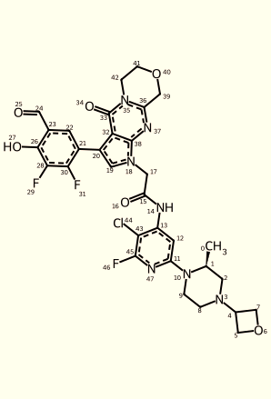 C[C@H]1CN(C2COC2)CCN1c1cc(NC(=O)Cn2cc(-c3cc(C=O)c(O)c(F)c3F)c3c(=O)n4c(nc32)COCC4)c(Cl)c(F)n1